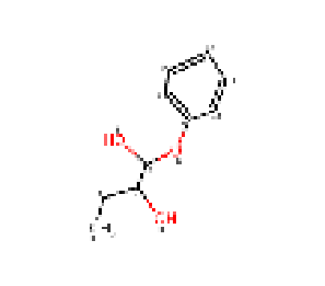 CCC(O)C(O)Oc1ccccc1